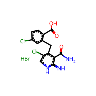 Br.N=c1[nH]cc(Cl)c(Cc2cc(Cl)ccc2C(=O)O)c1C(N)=O